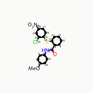 COc1ccc(NC(=O)c2ccccc2Sc2ccc([N+](=O)[O-])cc2Cl)cc1